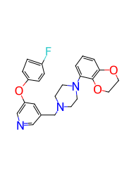 Fc1ccc(Oc2cncc(CN3CCN(c4cccc5c4OCCO5)CC3)c2)cc1